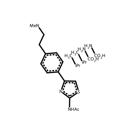 CC(C)C.CC(C)C.CNCCc1ccc(-c2csc(NC(C)=O)n2)cc1.NC(=O)O.NC(=O)O